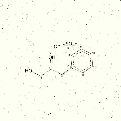 O=S(=O)([O-])O.OCC(O)C[n+]1ccccc1